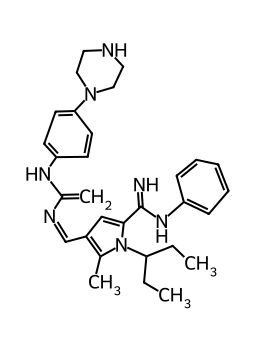 C=C(/N=C\c1cc(C(=N)Nc2ccccc2)n(C(CC)CC)c1C)Nc1ccc(N2CCNCC2)cc1